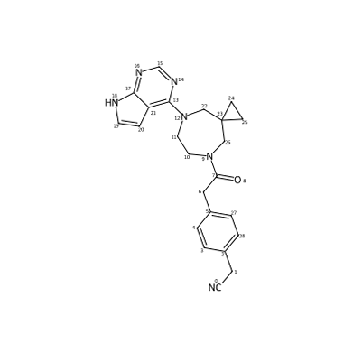 N#CCc1ccc(CC(=O)N2CCN(c3ncnc4[nH]ccc34)CC3(CC3)C2)cc1